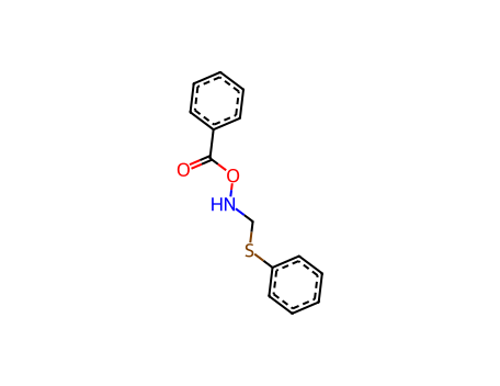 O=C(ONCSc1ccccc1)c1ccccc1